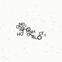 NC(=O)c1nc(CO)c(-c2csc(NC(=O)C3CN(Cc4cccc(C(F)(F)F)c4)C3)n2)s1